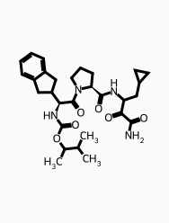 CC(C)C(C)OC(=O)N[C@H](C(=O)N1CCC[C@H]1C(=O)NC(CC1CC1)C(=O)C(N)=O)C1Cc2ccccc2C1